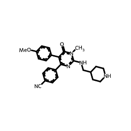 COc1ccc(-c2c(-c3ccc(C#N)cc3)nc(NCC3CCNCC3)n(C)c2=O)cc1